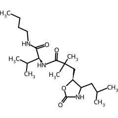 CCCCNC(=O)[C@@H](NC(=O)C(C)(C)C[C@@H]1OC(=O)NC1CC(C)C)C(C)C